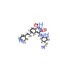 N#CCc1ccc(NC=C2C(=O)NC(=O)c3ccc(C=Cc4ccncc4)cc32)cc1